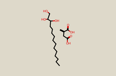 C=C(CC(=O)O)C(=O)O.CCCCCCCCCCCCC(O)C(O)CO